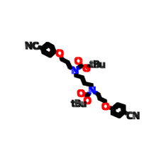 CC(C)(C)OC(=O)N(CCCCN(CCCOc1ccc(C#N)cc1)C(=O)OC(C)(C)C)CCCOc1ccc(C#N)cc1